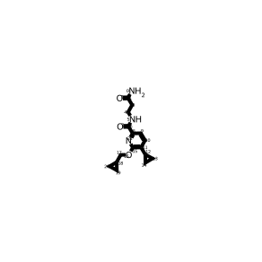 NC(=O)CCNC(=O)c1ccc(C2CC2)c(OCC2CC2)n1